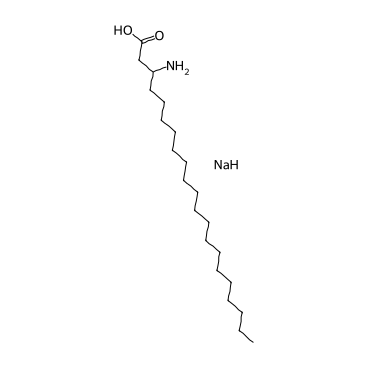 CCCCCCCCCCCCCCCCCCC(N)CC(=O)O.[NaH]